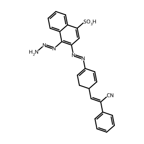 N#C/C(=C\C1C=CC(/N=N/c2cc(S(=O)(=O)O)c3ccccc3c2N=NN)=CC1)c1ccccc1